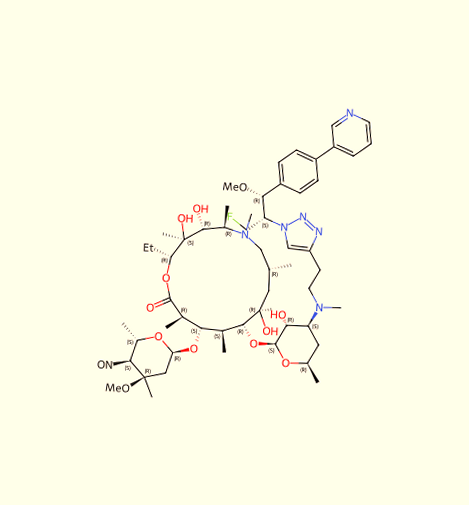 CC[C@H]1OC(=O)[C@H](C)[C@@H](O[C@H]2C[C@@](C)(OC)[C@@H](N=O)[C@H](C)O2)[C@H](C)[C@@H](O[C@@H]2O[C@H](C)C[C@H](N(C)CCc3cn([C@H](CF)[C@H](OC)c4ccc(-c5cccnc5)cc4)nn3)[C@H]2O)[C@](C)(O)C[C@@H](C)CN(C)[C@H](C)[C@@H](O)[C@]1(C)O